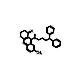 Cc1ccc2nc3c(c(NCCCC(c4ccccc4)c4ccccc4)c2c1)C(=O)CCC3